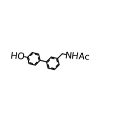 CC(=O)NCc1cccc(-c2ccc(O)cc2)c1